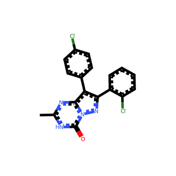 Cc1nc2c(-c3ccc(Cl)cc3)c(-c3ccccc3Cl)nn2c(=O)[nH]1